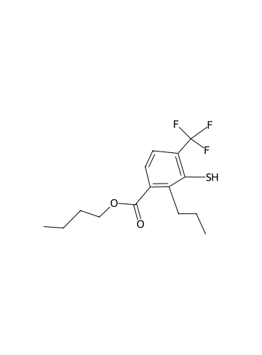 CCCCOC(=O)c1ccc(C(F)(F)F)c(S)c1CCC